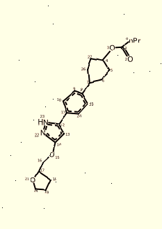 CCCC(=O)OC1CCC(c2ccc(-c3cc(OCC4CCCO4)n[nH]3)cc2)CC1